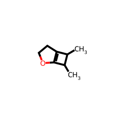 CC1C2=C(OCC2)C1C